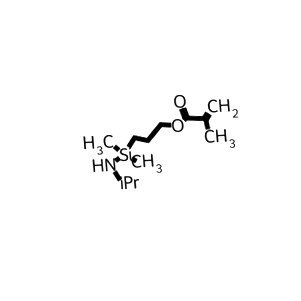 C=C(C)C(=O)OCCC[Si](C)(C)NC(C)C